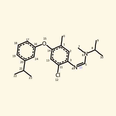 Cc1cc(/N=C\N(C)C(C)C)c(Cl)cc1Oc1cccc(C(C)C)c1